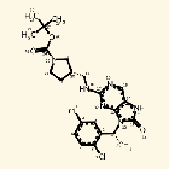 C[C@H](c1cc(Cl)ccc1Cl)n1c(=O)[nH]c2cnc(NC[C@@H]3CCN(C(=O)OC(C)(C)C)C3)nc21